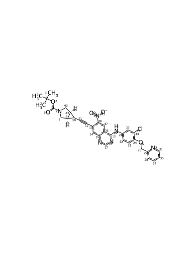 CC(C)(C)OC(=O)N1C[C@@H]2C(C#Cc3cc4ncnc(Nc5ccc(OCc6ccccn6)c(Cl)c5)c4cc3[N+](=O)[O-])[C@@H]2C1